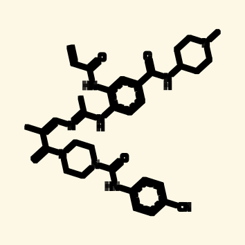 C=CC(=O)Nc1cc(C(=O)NC2CCN(C)CC2)ccc1N/C(C)=N/C=C(/C)C(=C)N1CCN(C(=O)Nc2ccc(C#N)cc2)CC1